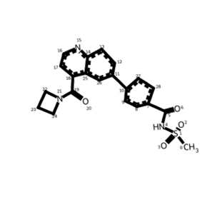 CS(=O)(=O)NC(=O)c1ccc(-c2ccc3nccc(C(=O)N4CCC4)c3c2)cc1